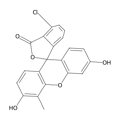 Cc1c(O)ccc2c1Oc1cc(O)ccc1C21OC(=O)c2c(Cl)cccc21